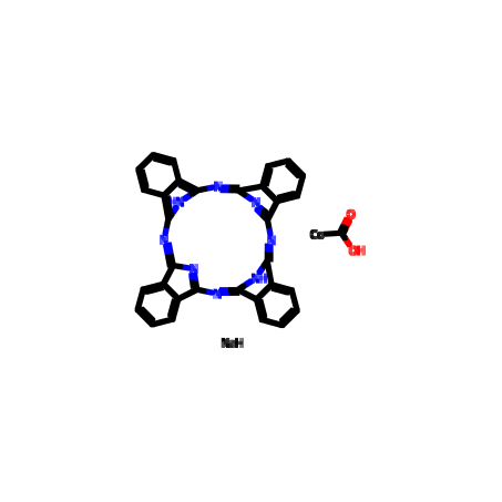 O=[C](O)[Co].[NaH].c1ccc2c(c1)-c1nc-2nc2[nH]c(nc3nc(nc4[nH]c(n1)c1ccccc41)-c1ccccc1-3)c1ccccc21